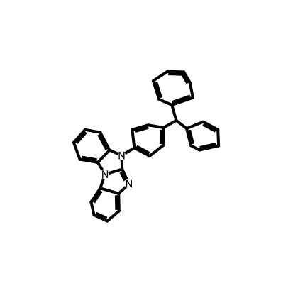 C1=CC=CC(C(c2ccccc2)c2ccc(-n3c4ccccc4n4c5ccccc5nc34)cc2)=CC=1